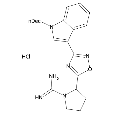 CCCCCCCCCCn1cc(-c2noc(C3CCCN3C(=N)N)n2)c2ccccc21.Cl